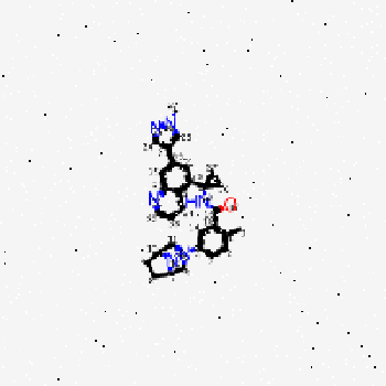 Cc1ccc(N2CC3CCC(C2)N3C)cc1C(=O)NC1(c2cc(-c3cnn(C)c3)cc3ncccc23)CC1